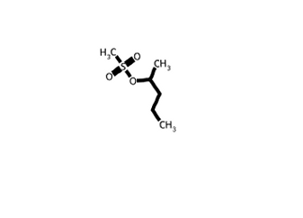 CCCC(C)OS(C)(=O)=O